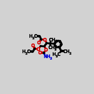 C=CC(=O)OCC(OC(N)=O)C(OC(=O)C=C)C(C)(C)c1cccc(C(=C)C)c1